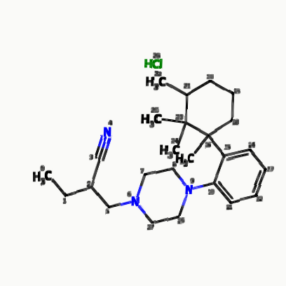 CCC(C#N)CN1CCN(c2ccccc2C2(C)CCCC(C)C2(C)C)CC1.Cl